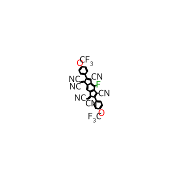 N#CC(C#N)=C1C(c2ccc(OC(F)(F)F)cc2)=C(C#N)c2c1cc1c(c2F)C(C#N)=C(c2ccc(OC(F)(F)F)cc2)C1=C(C#N)C#N